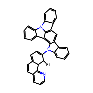 CCC1C(n2c3ccccc3c3cc4c5ccccc5n5c6ccccc6c(c32)c45)=CC=C2C=Cc3cccnc3C21